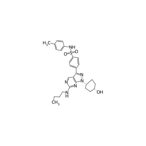 CCCCNc1ncc2c(-c3ccc(S(=O)(=O)Nc4ccc(C)cc4)cc3)nn([C@H]3CC[C@@H](O)CC3)c2n1